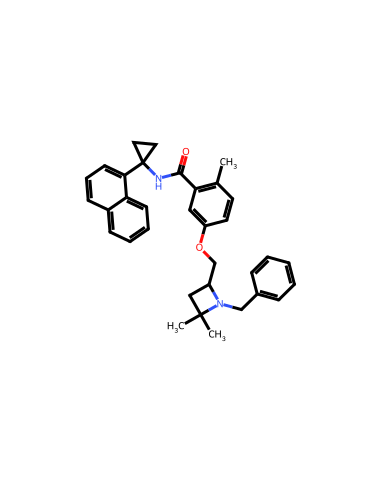 Cc1ccc(OCC2CC(C)(C)N2Cc2ccccc2)cc1C(=O)NC1(c2cccc3ccccc23)CC1